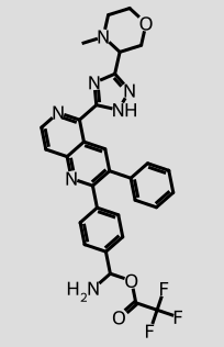 CN1CCOCC1c1n[nH]c(-c2nccc3nc(-c4ccc(C(N)OC(=O)C(F)(F)F)cc4)c(-c4ccccc4)cc23)n1